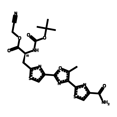 Cc1oc(-c2csc(C[C@H](NC(=O)OC(C)(C)C)C(=O)OCC#N)n2)nc1-c1nc(C(N)=O)cs1